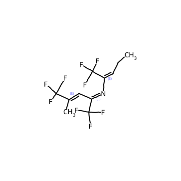 CC/C=C(/N=C(\C=C(/C)C(F)(F)F)C(F)(F)F)C(F)(F)F